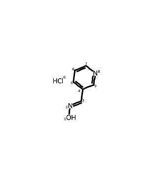 Cl.ON=Cc1cccnc1